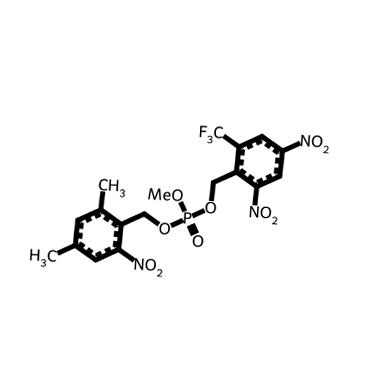 COP(=O)(OCc1c(C)cc(C)cc1[N+](=O)[O-])OCc1c([N+](=O)[O-])cc([N+](=O)[O-])cc1C(F)(F)F